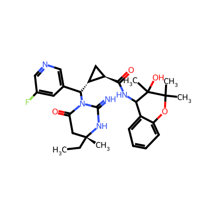 CC[C@]1(C)CC(=O)N(C(c2cncc(F)c2)[C@@H]2C[C@H]2C(=O)NC2c3ccccc3OC(C)(C)C2(C)O)C(=N)N1